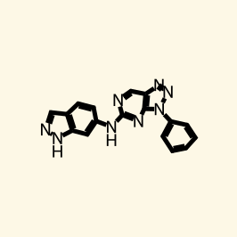 c1ccc(-n2nnc3cnc(Nc4ccc5cn[nH]c5c4)nc32)cc1